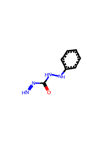 N=NC(=O)NNc1ccccc1